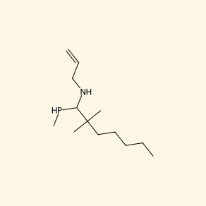 C=CCNC(PC)C(C)(C)CCCCC